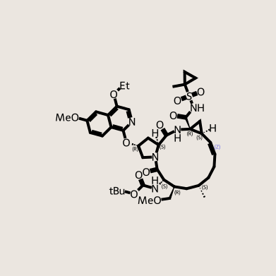 CCOc1cnc(O[C@@H]2C[C@H]3C(=O)N[C@]4(C(=O)NS(=O)(=O)C5(C)CC5)C[C@H]4/C=C\CC[C@H](C)C[C@@H](COC)[C@H](NC(=O)OC(C)(C)C)C(=O)N3C2)c2ccc(OC)cc12